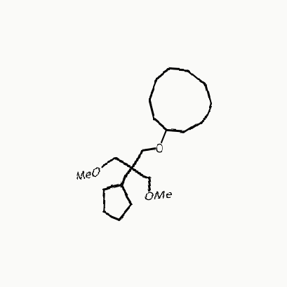 COCC(COC)(COC1CCCCCCCCC1)C1CCCC1